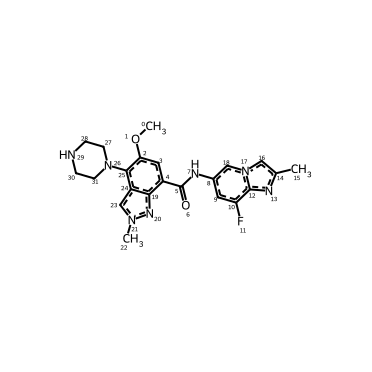 COc1cc(C(=O)Nc2cc(F)c3nc(C)cn3c2)c2nn(C)cc2c1N1CCNCC1